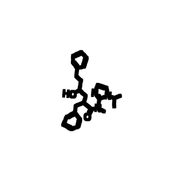 CC(C)n1ccnc1N(C)C(=O)C(Cc1ccccc1)CC(O)CCc1ccccc1